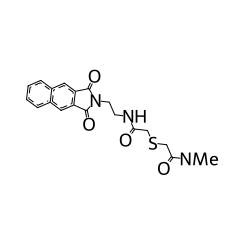 CNC(=O)CSCC(=O)NCCN1C(=O)c2cc3ccccc3cc2C1=O